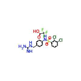 N=C(N)NCc1ccc(NS(=O)(=O)c2cccc(Cl)c2Cl)cc1.O=C(O)C(F)(F)F